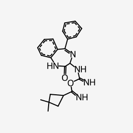 CC1(C)CC(C(=N)OC(=N)NC2N=C(c3ccccc3)c3ccccc3NC2=O)C1